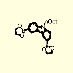 CCCCCCCCn1c2ccc(B3OCCO3)cc2c2cc(B3OCCO3)ccc21